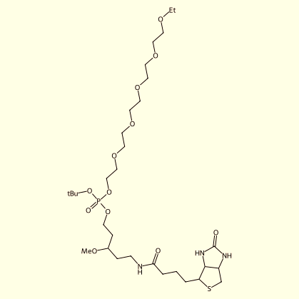 CCOCCOCCOCCOCCOCCOP(=O)(OCCC(CCNC(=O)CCCC1SCC2NC(=O)NC21)OC)OC(C)(C)C